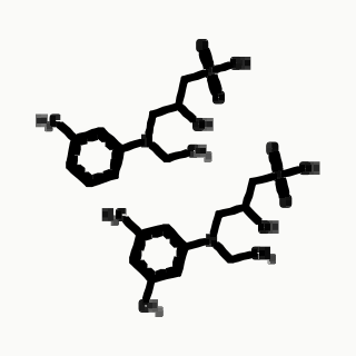 CCN(CC(O)CS(=O)(=O)O)c1cc(C)cc(C)c1.CCN(CC(O)CS(=O)(=O)O)c1cccc(C)c1